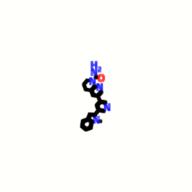 Cn1c(-c2cncc(-c3cnc4c(c3)CCCN4C(N)=O)c2)cc2ccccc21